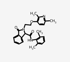 Cc1ccc(OCCN2C(=O)c3ccccc3C2C(=O)Nc2c(C)cccc2C)c(C)n1